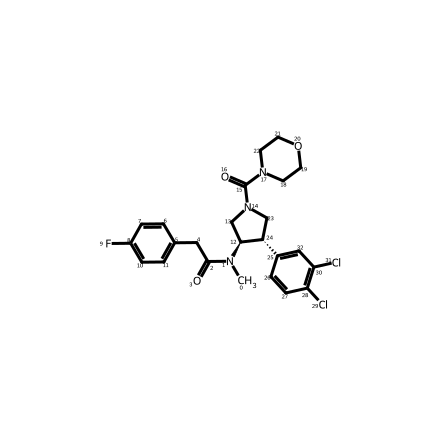 CN(C(=O)Cc1ccc(F)cc1)[C@H]1CN(C(=O)N2CCOCC2)C[C@@H]1c1ccc(Cl)c(Cl)c1